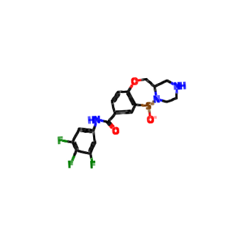 O=C(Nc1cc(F)c(F)c(F)c1)c1ccc2c(c1)[S+]([O-])N1CCNCC1CO2